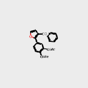 COc1ccc(-c2occc2C(=O)O)cc1OC.c1ccccc1